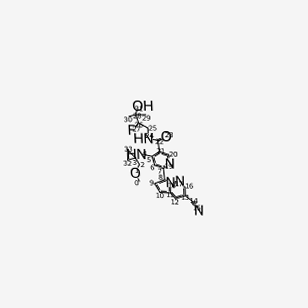 COCC1(Nc2cc(-c3ccc4cc(C#N)cnn34)ncc2C(=O)NCC(F)C(C)(C)O)CC1